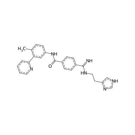 Cc1ccc(NC(=O)c2ccc(C(=N)NCCc3c[nH]cn3)cc2)cc1-c1ccccn1